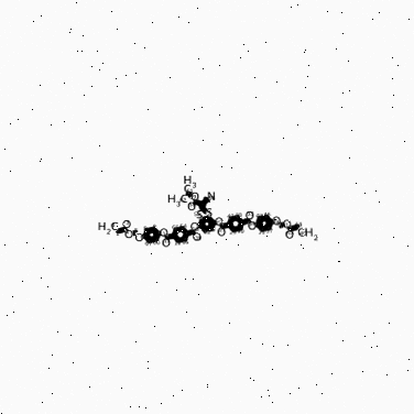 C=CC(=O)OCOc1ccc(OC(=O)C2CCC(C(=O)Oc3ccc(OC(=O)C4CCC(C(=O)Oc5ccc(OCOC(=O)C=C)cc5)CC4)c4c3SC(=C(C#N)C(=O)OC(C)C)S4)CC2)cc1